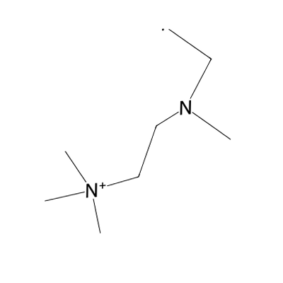 [CH2]CN(C)CC[N+](C)(C)C